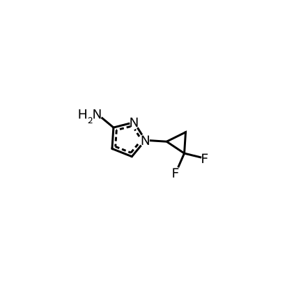 Nc1ccn(C2CC2(F)F)n1